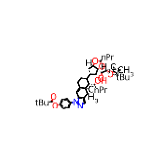 CCCC1O[C@@H]2C[C@@H]([C@@H]3CCC4=Cc5c(cnn5-c5ccc(OC(=O)C(C)(C)C)cc5)C[C@]4(C)[C@H]3[C@@H](O)CCC)C[C@]2(C(=O)CO[Si](C)(C)C(C)(C)C)O1